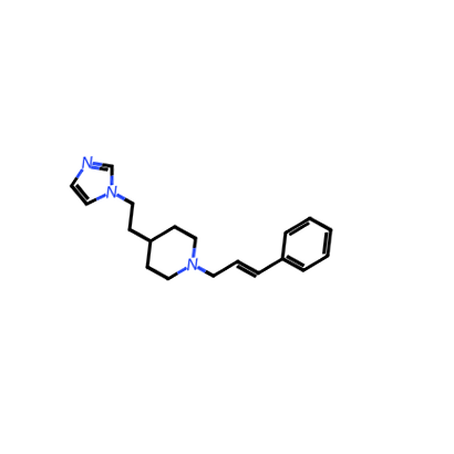 C(=Cc1ccccc1)CN1CCC(CCn2ccnc2)CC1